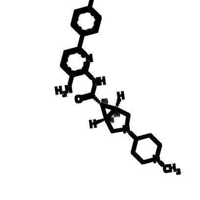 CN1CCC(N2C[C@@H]3[C@H](C2)[C@H]3C(=O)Nc2nc(-c3ccc(F)cc3)ccc2N)CC1